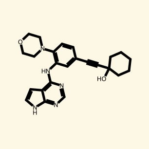 OC1(C#Cc2ccc(N3CCOCC3)c(Nc3ncnc4[nH]ccc34)c2)CCCCC1